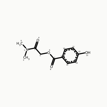 CN(C)C(=O)COC(=O)c1ccc(O)cc1